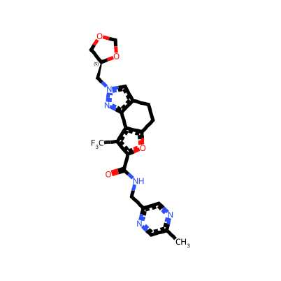 Cc1cnc(CNC(=O)c2oc3c(c2C(F)(F)F)-c2nn(C[C@H]4COCO4)cc2CC3)cn1